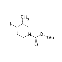 CC1CN(C(=O)OC(C)(C)C)CCC1I